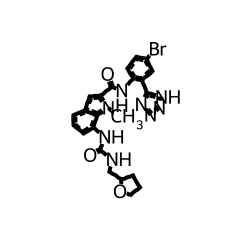 Cn1c(C(=O)Nc2ccc(Br)cc2-c2nnn[nH]2)cc2cccc(NC(=O)NCC3CCCO3)c21